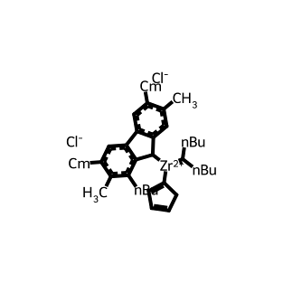 CCCC[C](CCCC)=[Zr+2]([C]1=CC=CC1)[CH]1c2cc(C)[c]([Cm])cc2-c2c[c]([Cm])c(C)c(CCCC)c21.[Cl-].[Cl-]